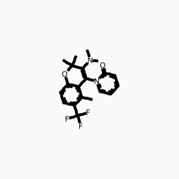 Cc1c(C(F)(F)F)ccc2c1C(n1ccccc1=O)=C(N(C)C)C(C)(C)O2